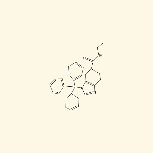 CCNC(=O)C1CCc2ncn(C(c3ccccc3)(c3ccccc3)C3C=CC=CC3)c2C1